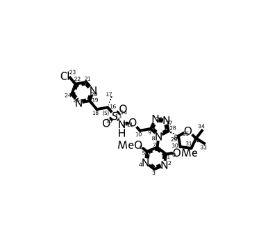 COc1ncnc(OC)c1-n1c(CONS(=O)(=O)[C@@H](C)Cc2ncc(Cl)cn2)nnc1[C@H]1CCC(C)(C)O1